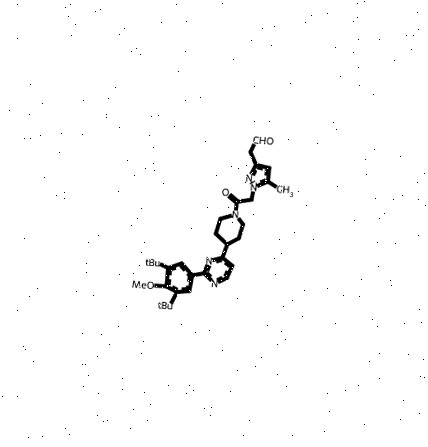 COc1c(C(C)(C)C)cc(-c2nccc(C3CCN(C(=O)Cn4nc(CC=O)cc4C)CC3)n2)cc1C(C)(C)C